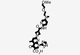 COCCOCCN(C)c1ccc(NC(=O)C2CN(c3cc(C)c4c(=O)c(C(=O)O)cn(-c5ncns5)c4n3)C2)nc1